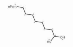 CCCCCCCCCCCCC(O)S